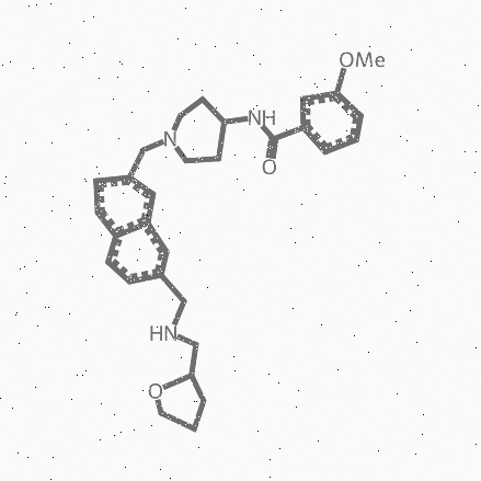 COc1cccc(C(=O)NC2CCN(Cc3ccc4ccc(CNCC5CCCO5)cc4c3)CC2)c1